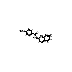 Cc1ccc(C(=O)Nc2ccc3ccc(Cl)nc3n2)cc1